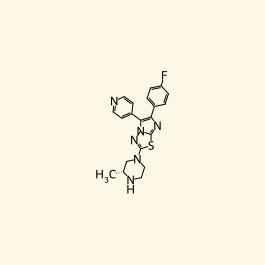 C[C@@H]1CN(c2nn3c(-c4ccncc4)c(-c4ccc(F)cc4)nc3s2)CCN1